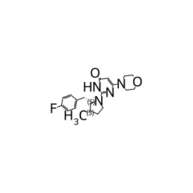 C[C@H]1CCN(c2nc(N3CCOCC3)cc(=O)[nH]2)[C@H]1Cc1ccc(F)cc1